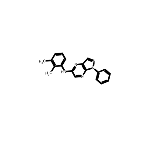 Cc1cccc(Nc2cnc3c(cnn3-c3ccccc3)n2)c1C